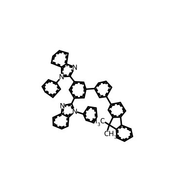 CC1(C)c2ccccc2-c2ccc(-c3cccc(-c4cc(-c5nc6ccccc6n5-c5ccccc5)cc(-c5nc6ccccc6n5-c5ccccc5)c4)c3)cc21